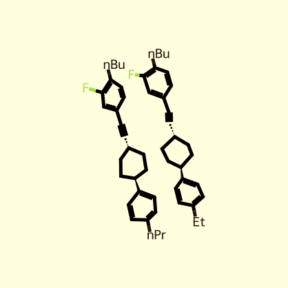 CCCCc1ccc(C#C[C@H]2CC[C@H](c3ccc(CC)cc3)CC2)cc1F.CCCCc1ccc(C#C[C@H]2CC[C@H](c3ccc(CCC)cc3)CC2)cc1F